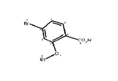 CCOc1cc(Br)ccc1C(=O)O